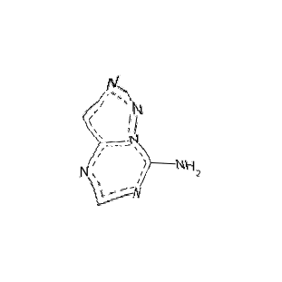 Nc1ncnc2cnnn12